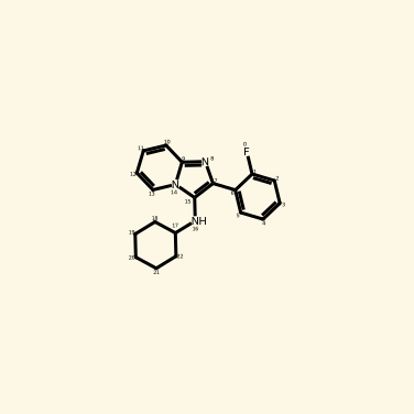 Fc1ccccc1-c1nc2ccccn2c1NC1CCCCC1